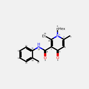 CCCCCCn1c(C)cc(=O)c(C(=O)Nc2ccccc2C)c1CC